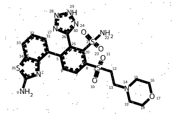 Nc1nc2c(-c3ccc(S(=O)(=O)CCN4CCOCC4)c(S(N)(=O)=O)c3-c3nn[nH]n3)cccc2s1